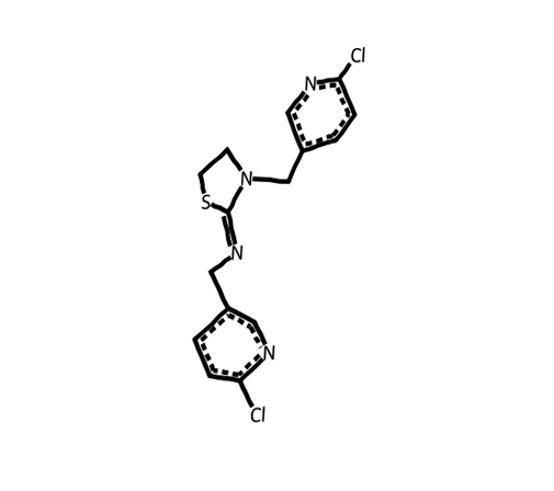 Clc1ccc(CN=C2SCCN2Cc2ccc(Cl)nc2)cn1